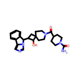 NC(=O)N1CCC(C(=O)N2CCC3(CC2)CC(C2c4ccccc4-c4cncn42)C3O)CC1